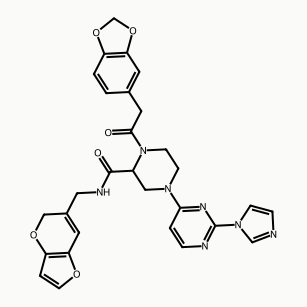 O=C(NCC1=Cc2occc2OC1)C1CN(c2ccnc(-n3ccnc3)n2)CCN1C(=O)Cc1ccc2c(c1)OCO2